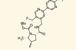 C[C@H]1[C@H](F)C[C@@H](C(=O)NCc2cc(-c3cnc(C(F)(F)F)nc3)ncc2CF)N1C(=O)OC(C)(C)C